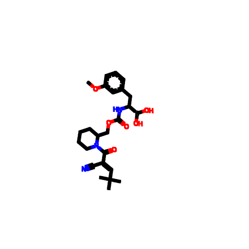 COc1cccc(CC(NC(=O)OCC2CCCCN2C(=O)C(C#N)=CC(C)(C)C)B(O)O)c1